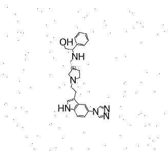 OCC(NC[C@@H]1CCN(CCc2c[nH]c3ccc(-n4cnnc4)cc23)C1)c1ccccc1